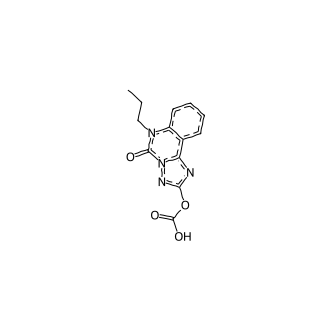 CCCn1c(=O)n2nc(OC(=O)O)nc2c2ccccc21